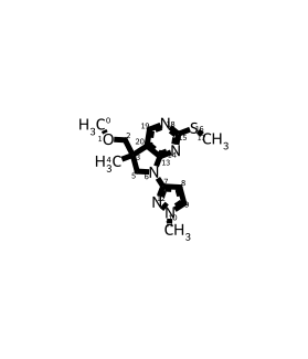 COCC1(C)CN(c2ccn(C)n2)c2nc(SC)ncc21